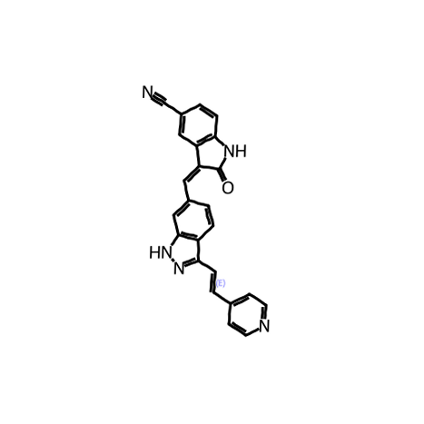 N#Cc1ccc2c(c1)C(=Cc1ccc3c(/C=C/c4ccncc4)n[nH]c3c1)C(=O)N2